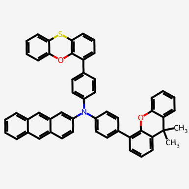 CC1(C)c2ccccc2Oc2c(-c3ccc(N(c4ccc(-c5cccc6c5Oc5ccccc5S6)cc4)c4ccc5cc6ccccc6cc5c4)cc3)cccc21